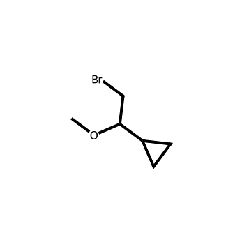 COC(CBr)C1CC1